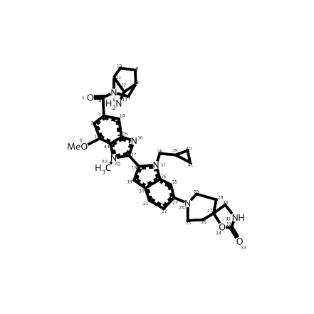 COc1cc(C(=O)N2CC3CCC2C3N)cc2nc(-c3cc4ccc(N5CCC6(CC5)CNC(=O)O6)cc4n3CC3CC3)n(C)c12